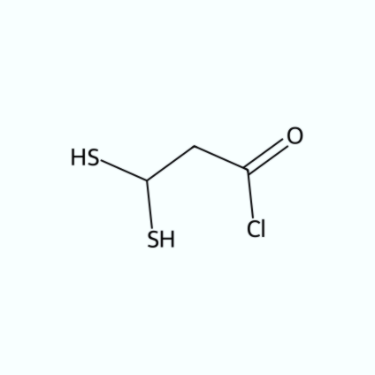 O=C(Cl)CC(S)S